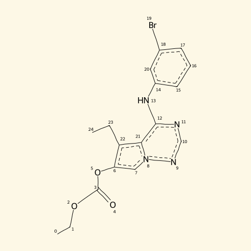 CCOC(=O)Oc1cn2ncnc(Nc3cccc(Br)c3)c2c1CC